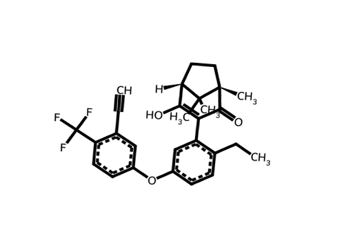 C#Cc1cc(Oc2ccc(CC)c(C3=C(O)[C@@H]4CC[C@](C)(C3=O)C4(C)C)c2)ccc1C(F)(F)F